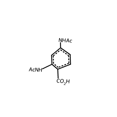 CC(=O)Nc1ccc(C(=O)O)c(NC(C)=O)c1